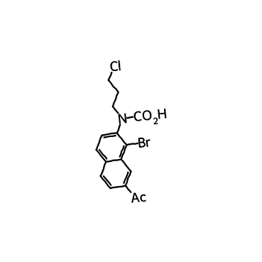 CC(=O)c1ccc2ccc(N(CCCCl)C(=O)O)c(Br)c2c1